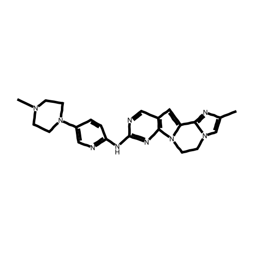 Cc1cn2c(n1)-c1cc3cnc(Nc4ccc(N5CCN(C)CC5)cn4)nc3n1CC2